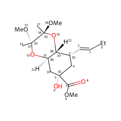 CCC=C[C@@H]1C[C@@](O)(C(=O)OC)C[C@H]2O[C@](C)(OC)[C@@](C)(OC)O[C@H]12